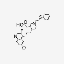 COc1ccc2ncc(F)c(CCCC3CCN(CCSc4ccccc4)CC3CC(=O)O)c2c1